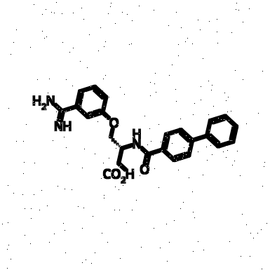 N=C(N)c1cccc(OC[C@@H](CC(=O)O)NC(=O)c2ccc(-c3ccccc3)cc2)c1